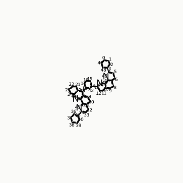 c1ccc(-c2ccc3ccc4ccc(-c5cccc(-c6c7ccccc7nc7c6ccc6ccc(-c8ccccc8)nc67)c5)nc4c3n2)cc1